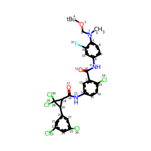 CN(COC(C)(C)C)c1ccc(NC(=O)c2cc(NC(=O)C3C(c4cc(Cl)cc(Cl)c4)C3(Cl)Cl)ccc2Cl)cc1F